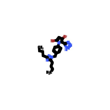 CCCCc1nc(CCCC)n(Cc2ccc(-n3c(Br)cc(Br)c3-c3nnn[nH]3)cc2)n1